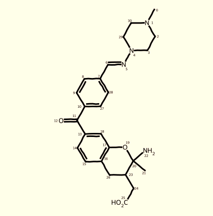 CN1CCN(N=Cc2ccc(C(=O)c3ccc4c(c3)OC(C)(N)C(CC(=O)O)C4)cc2)CC1